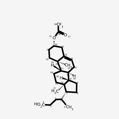 CC(CCC(=O)O)[C@H]1CC[C@H]2[C@@H]3CC=C4C[C@@H](OC(=O)C(F)(F)F)CC[C@]4(C)[C@H]3CC[C@]12C